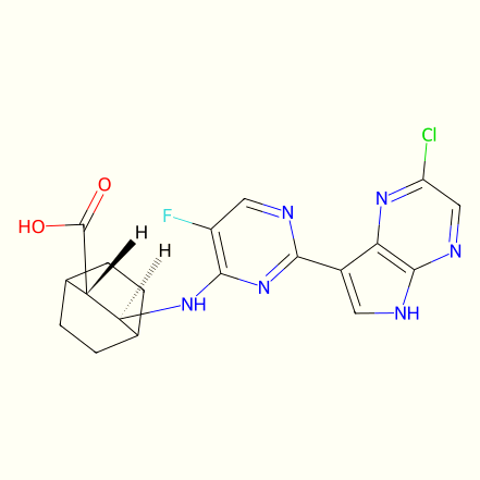 O=C(O)[C@H]1C2CCC(CC2)[C@@H]1Nc1nc(-c2c[nH]c3ncc(Cl)nc23)ncc1F